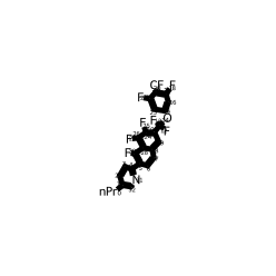 CCCc1ccc(-c2ccc3cc(C(F)(F)Oc4cc(F)c(C(F)(F)F)c(F)c4)c(F)c(F)c3c2F)nc1